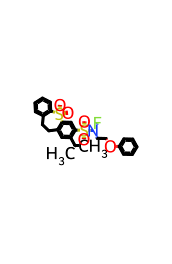 CC(C)c1cc2c(cc1S(=O)(=O)N(F)CCOc1ccccc1)S(=O)(=O)c1ccccc1CC2